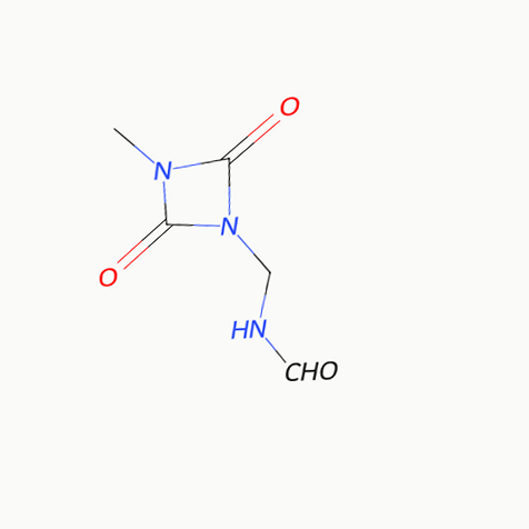 CN1C(=O)N(CNC=O)C1=O